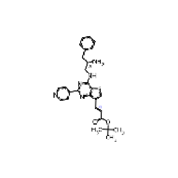 CC(C)(C)OC(=O)/C=C/c1csc2c(NC[C@H](N)Cc3ccccc3)nc(-c3ccncc3)nc12